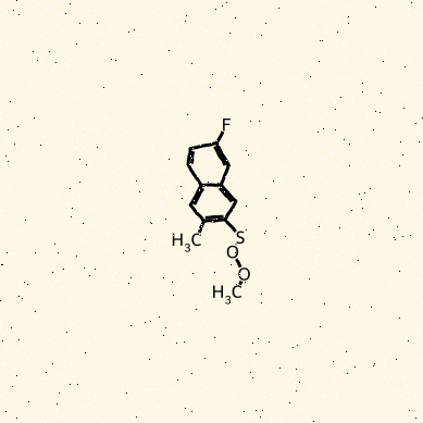 COOSc1cc2cc(F)ccc2cc1C